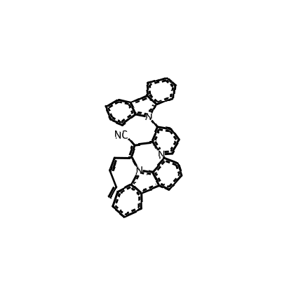 C=C/C=C\C(=C(/C#N)c1ncccc1-n1c2ccccc2c2ccccc21)n1c2ccccc2c2ccccc21